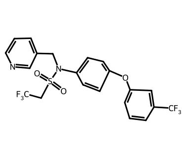 O=S(=O)(CC(F)(F)F)N(Cc1cccnc1)c1ccc(Oc2cccc(C(F)(F)F)c2)cc1